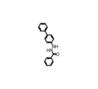 O=C(NNc1ccc(-c2ccccc2)cc1)c1ccccc1